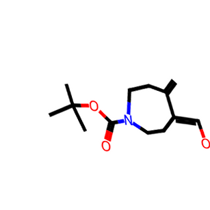 C=C1CCN(C(=O)OC(C)(C)C)CC/C1=C\O